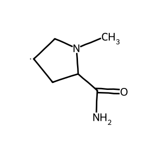 CN1C[CH]CC1C(N)=O